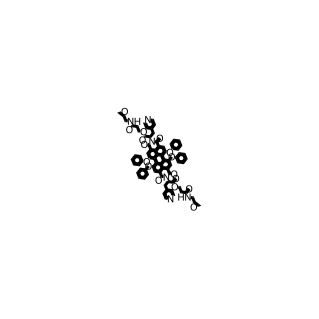 O=C(CCOC(=O)C(Cc1ccncc1)N1C(=O)c2cc(Oc3ccccc3)c3c4c(Oc5ccccc5)cc5c6c(cc(Oc7ccccc7)c(c7c(Oc8ccccc8)cc(c2c37)C1=O)c64)C(=O)N(C(Cc1ccncc1)C(=O)OCCC(=O)NCC1CO1)C5=O)NCC1CO1